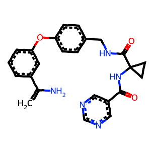 C=C(N)c1cccc(Oc2ccc(CNC(=O)C3(NC(=O)c4cncnc4)CC3)cc2)c1